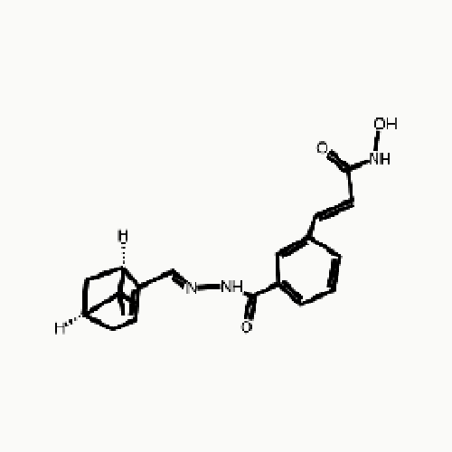 CC1(C)[C@H]2CC=C(/C=N/NC(=O)c3cccc(/C=C/C(=O)NO)c3)[C@@H]1C2